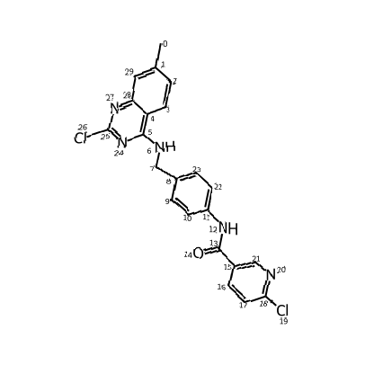 Cc1ccc2c(NCc3ccc(NC(=O)c4ccc(Cl)nc4)cc3)nc(Cl)nc2c1